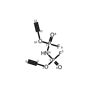 C#COP(=O)(F)NP(=O)(F)OC#C